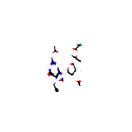 C#CCn1c(=O)n([C@@H]2O[C@H](C(C)(C)OC(=O)C(F)(F)F)[C@H](F)[C@H]2OC(C)=O)c2nc(NC(C)=O)[nH]c(=O)c21